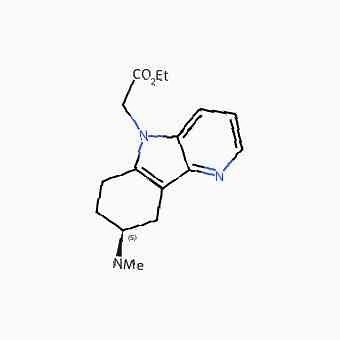 CCOC(=O)Cn1c2c(c3ncccc31)C[C@@H](NC)CC2